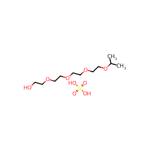 CC(C)OCCOCCOCCOCCO.O=S(=O)(O)O